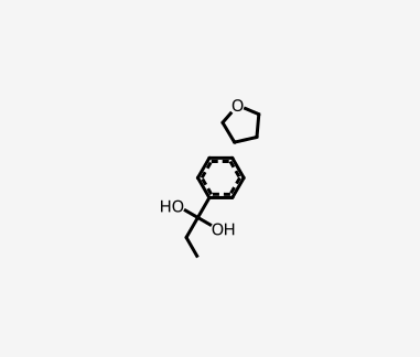 C1CCOC1.CCC(O)(O)c1ccccc1